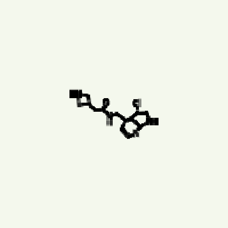 O=C(CC1CNC1)NCc1ccnc2[nH]cc(Cl)c12